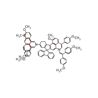 COC1=C=C=C(/C(=C\N(C=C(c2ccc(OC)cc2)c2ccc(OC)cc2)C2=CC3=C(CC2)C2=C(C=C(N(C=C(c4ccc(OC)cc4)c4ccc(OC)cc4)/C=C(\C4=CC=C(OC)C#CC4)c4ccc(OC)cc4)CC2)C32c3ccccc3-c3ccccc32)c2ccc(OC)cc2)C=C1